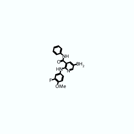 Bc1cnc(Nc2ccc(OC)c(F)c2)c(C(=O)Nc2ccccc2)c1